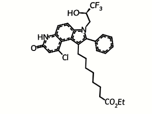 CCOC(=O)CCCCCCCc1c(-c2ccccc2)n(C[C@@H](O)C(F)(F)F)c2ccc3[nH]c(=O)cc(Cl)c3c12